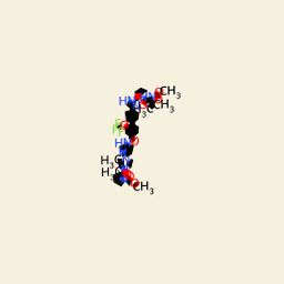 COCC(=O)N1CCC[C@@]1(C)C(=O)N1CCN(c2ccc(NC(=O)c3ccc(-c4ccc(-c5c[nH]c([C@@H]6CCCN6C(=O)[C@@H](NC(=O)OC)C(C)C)n5)cc4)c(OC(F)(F)F)c3)cn2)[C@H](C)C1